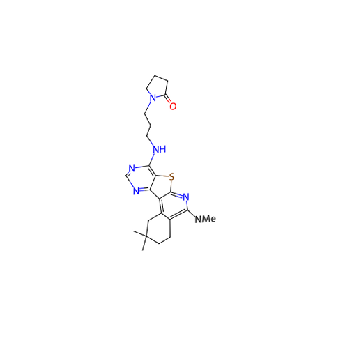 CNc1nc2sc3c(NCCCN4CCCC4=O)ncnc3c2c2c1CCC(C)(C)C2